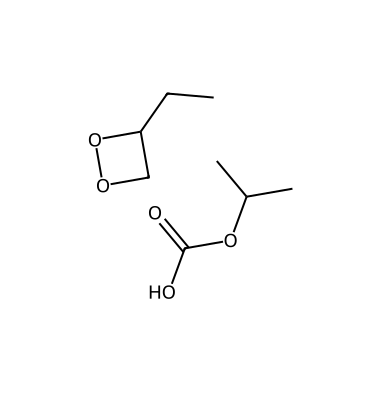 CC(C)OC(=O)O.CCC1COO1